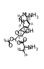 CC(=O)OC[C@H]1O[C@@](C)(c2ccc3c(N)ncnn23)[C@H](O)[C@@H]1OC(=O)[C@@H](N)C(C)C